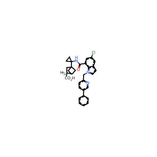 O=C(NC1(C23CC(C2)[C@@H](C(=O)O)C3)CC1)c1cc(Cl)cc2ccn(Cc3ccc(-c4ccccc4)cn3)c12